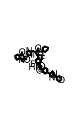 Cn1c(=O)n(-c2ccc(C[C@H](NC(=O)c3cc(F)c(NS(=O)(=O)c4ccc(-c5cnc(C6CCOCC6)nc5)cc4)cc3F)C(=O)OC3CCCCC3)nc2)c(=O)c2ccccc21